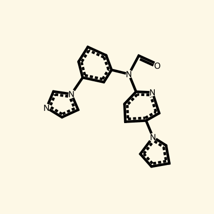 O=CN(c1cccc(-n2ccnc2)c1)c1ccc(-n2cccc2)cn1